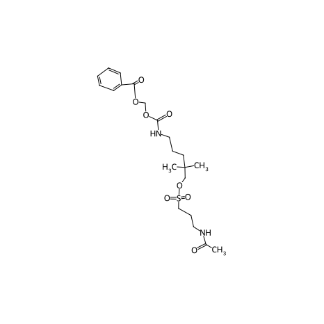 CC(=O)NCCCS(=O)(=O)OCC(C)(C)CCCNC(=O)OCOC(=O)c1ccccc1